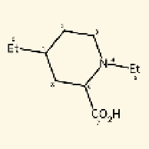 CCC1CCN(CC)C(C(=O)O)C1